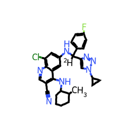 [2H]C(Nc1cc(Cl)c2ncc(C#N)c(NC3CCCCC3C)c2c1)(c1ccc(F)cc1)c1cn(C2CC2)nn1